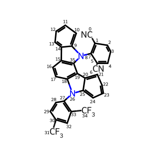 N#Cc1cccc(C#N)c1-n1c2ccccc2c2ccc3c(c4ccccc4n3-c3ccc(C(F)(F)F)cc3C(F)(F)F)c21